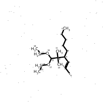 CCCCCC(/C=C/I)C(C)(C)C(O[SiH2]C)O[SiH2]C